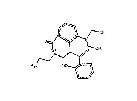 CCCCCC(C(=O)c1ccccc1O)c1c(C(=O)O)cccc1N(CC)CC